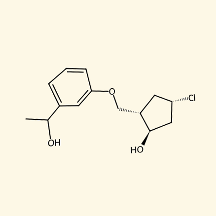 CC(O)c1cccc(OC[C@@H]2C[C@H](Cl)C[C@H]2O)c1